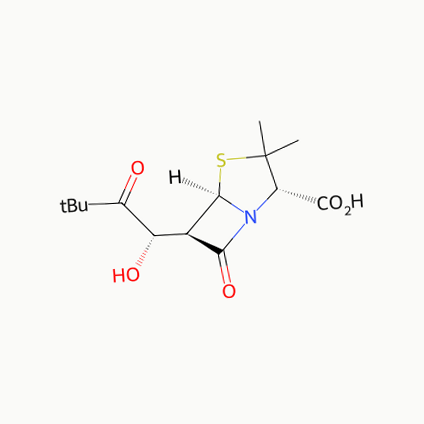 CC(C)(C)C(=O)[C@@H](O)[C@@H]1C(=O)N2[C@@H]1SC(C)(C)[C@@H]2C(=O)O